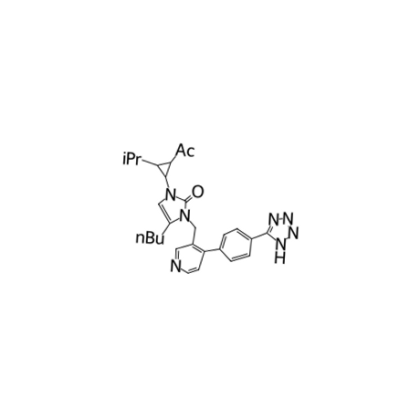 CCCCc1cn(C2C(C(C)=O)C2C(C)C)c(=O)n1Cc1cnccc1-c1ccc(-c2nnn[nH]2)cc1